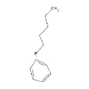 CCCCC[P]c1ccccc1